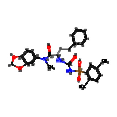 Cc1ccc(C)c(S(=O)(=O)NC(=O)N[C@@H](CCc2ccccc2)C(=O)N(C)c2ccc3c(c2)OCO3)c1